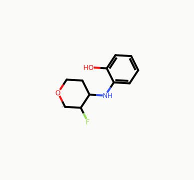 Oc1ccccc1NC1CCO[CH]C1F